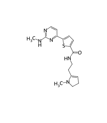 CNc1nccc(-c2ccc(C(=O)NCCC3=CCCN3C)s2)n1